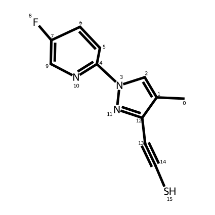 Cc1cn(-c2ccc(F)cn2)nc1C#CS